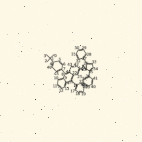 CC(C)(C)c1ccc(-c2c3ccccc3c(-c3ccccc3)c3cc(-n4c(-c5ccccc5)ccc4-c4ccccc4)ccc23)cc1